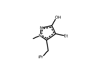 CCc1c(O)nn(C)c1CC(C)C